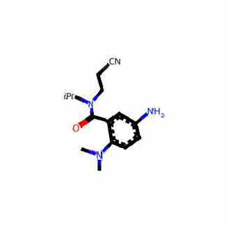 CC(C)N(CCC#N)C(=O)c1cc(N)ccc1N(C)C